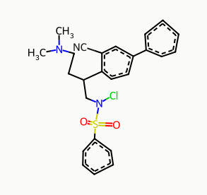 CN(C)CCC(CN(Cl)S(=O)(=O)c1ccccc1)c1ccc(-c2ccccc2)cc1C#N